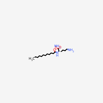 CCCCCCCCCCCC(=O)N[C@@H](CCCCN)C(=O)ON